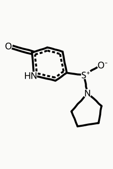 O=c1ccc([S+]([O-])N2CCCC2)c[nH]1